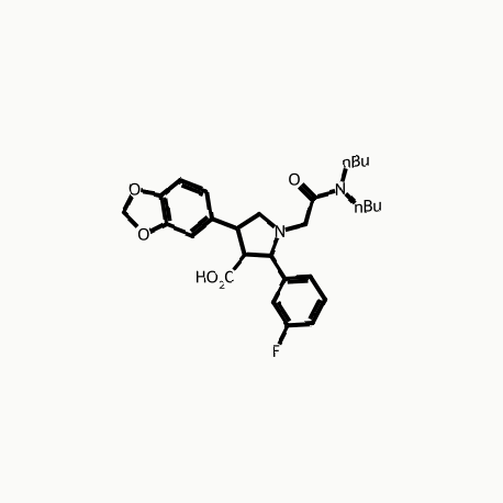 CCCCN(CCCC)C(=O)CN1CC(c2ccc3c(c2)OCO3)C(C(=O)O)C1c1cccc(F)c1